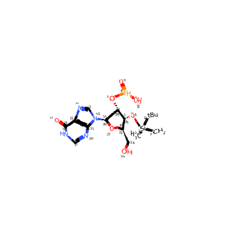 CC(C)(C)[Si](C)(C)O[C@H]1[C@@H](O[PH](=O)O)[C@H](n2cnc3c(=O)[nH]cnc32)O[C@@H]1CO